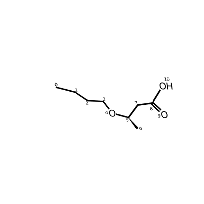 CCCCO[C@H](C)CC(=O)O